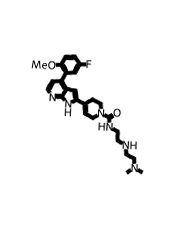 COc1ccc(F)cc1-c1ccnc2[nH]c(C3=CCN(C(=O)NCCNCCN(C)C)CC3)cc12